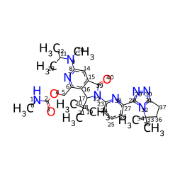 CNC(=O)OCc1nc(N(C)C(C)C)cc2c1C(C(C)(C)C)N(c1cccc(-c3nnc4n3C(C)(C)CC4)n1)C2=O